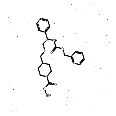 CC(C)(C)OC(=O)N1CCC(COC[C@H](NC(=O)OCc2ccccc2)c2ccccc2)CC1